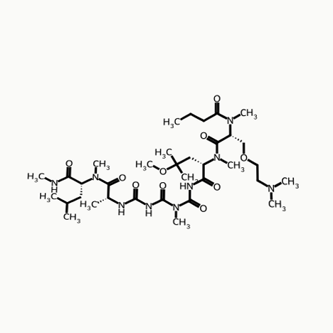 CCCC(=O)N(C)[C@H](COCCN(C)C)C(=O)N(C)[C@@H](CC(C)(C)OC)C(=O)NC(=O)N(C)C(=O)NC(=O)N[C@H](C)C(=O)N(C)[C@H](CC(C)C)C(=O)NC